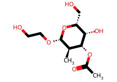 CC(=O)O[C@@H]1[C@@H](C)[C@H](OCCO)O[C@H](CO)[C@@H]1O